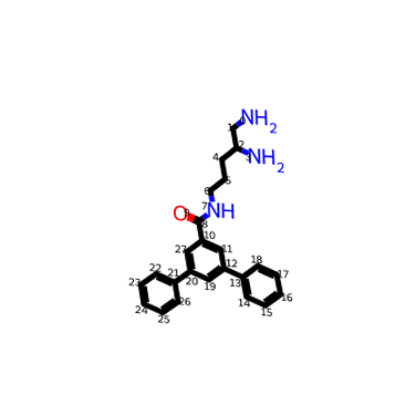 NCC(N)CCCNC(=O)c1cc(-c2ccccc2)cc(-c2ccccc2)c1